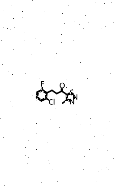 Cc1nnsc1C(=O)CCc1c(F)cccc1Cl